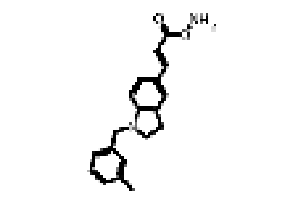 Cc1cccc(CN2CCc3cc(/C=C/C(=O)ON)ccc32)c1